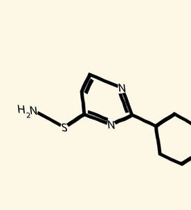 NSc1ccnc(C2CCCCC2)n1